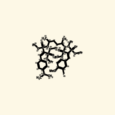 COc1ccc(/C=C(/P(=O)(OC(C)C)OC(C)C)P(=O)(OC(C)C)OC(C)CCC(C)OP(=O)(OC(C)C)/C(=C/c2ccc(N(C)C)cc2)P(=O)(OC(C)C)OC(C)C)cc1F